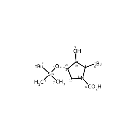 CC(C)(C)C1[C@H](O)[C@@H](O[Si](C)(C)C(C)(C)C)CN1C(=O)O